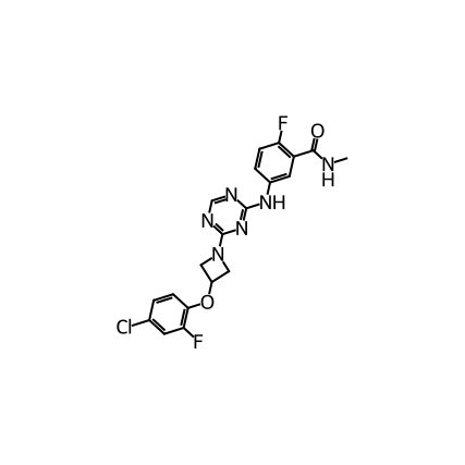 CNC(=O)c1cc(Nc2ncnc(N3CC(Oc4ccc(Cl)cc4F)C3)n2)ccc1F